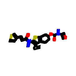 N#Cc1c(NC(=O)C=Cc2ccsc2)sc2c1CCC(OC(=O)NC1COC1)C2